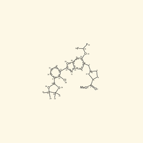 COC(=O)C1CCN(Cc2cc3nc(-c4cccc(B5OC(C)(C)C(C)(C)O5)c4Cl)oc3cc2OC(F)F)C1